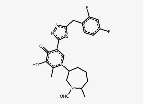 Cc1c(O)c(=O)c(-c2nnc(Cc3ccc(F)cc3F)s2)cn1C1CCCC(C)N(C=O)C1